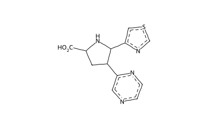 O=C(O)C1CC(c2cnccn2)C(c2cscn2)N1